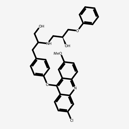 COc1ccc2nc3cc(Cl)ccc3c(Oc3ccc(CC(CO)NC[C@H](O)COc4ccccc4)cc3)c2c1